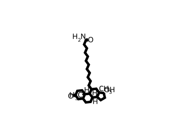 C[C@]12CCC(=O)CC1CC[C@@H]1[C@H]2C(CCCCCCCCCCCC(N)=O)C[C@]2(C)C(O)CC[C@@H]12